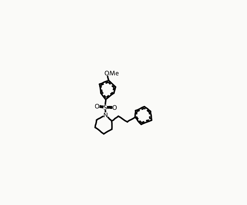 COc1ccc(S(=O)(=O)N2CCCCC2CCc2ccccc2)cc1